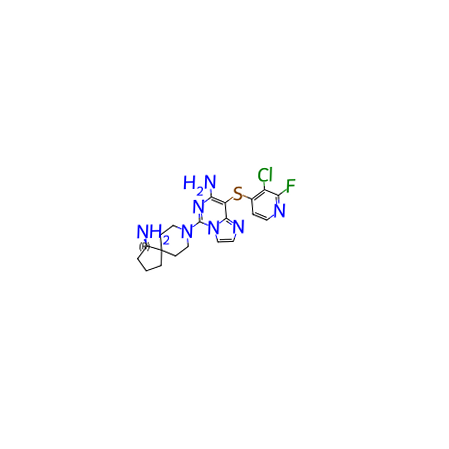 Nc1nc(N2CCC3(CCC[C@H]3N)CC2)n2ccnc2c1Sc1ccnc(F)c1Cl